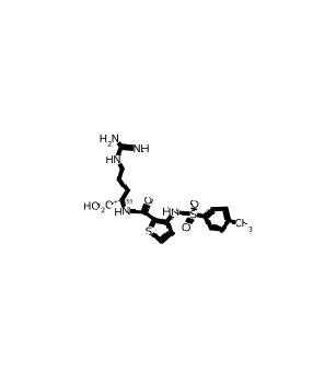 Cc1ccc(S(=O)(=O)Nc2ccsc2C(=O)N[C@@H](CCCNC(=N)N)C(=O)O)cc1